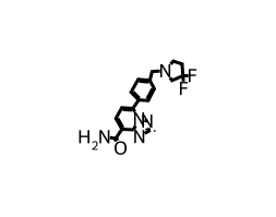 NC(=O)c1ccc(-c2ccc(CN3CCC(F)(F)C3)cc2)n2n[c]nc12